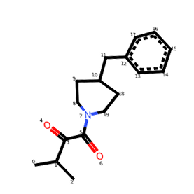 CC(C)C(=O)C(=O)N1CCC(Cc2ccccc2)CC1